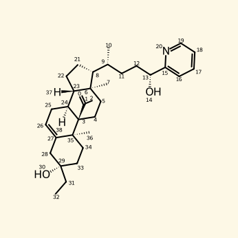 C=C(C)[C@]12CC[C@]3(C)[C@@H]([C@H](C)CC[C@@H](O)c4ccccn4)CC[C@H]3[C@@H]1CC=C1C[C@](O)(CC)CC[C@@]12C